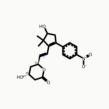 CC1(C)C(/C=C/[C@@H]2C[C@@H](O)CC(=O)O2)=C(c2ccc([N+](=O)[O-])cc2)CC1O